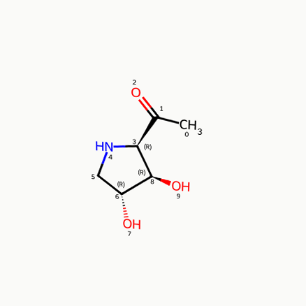 CC(=O)[C@@H]1NC[C@@H](O)[C@@H]1O